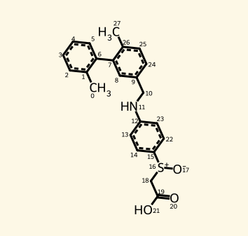 Cc1ccccc1-c1cc(CNc2ccc([S+]([O-])CC(=O)O)cc2)ccc1C